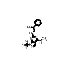 [2H]C([2H])([2H])n1ncc2c(NC)nc(NCC(N)c3ccccc3)nc21